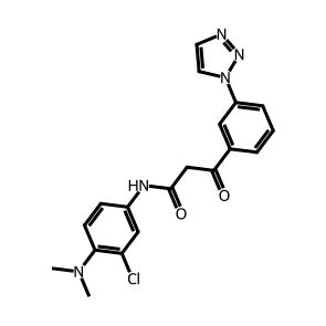 CN(C)c1ccc(NC(=O)CC(=O)c2cccc(-n3ccnn3)c2)cc1Cl